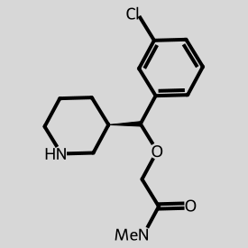 CNC(=O)COC(c1cccc(Cl)c1)[C@@H]1CCCNC1